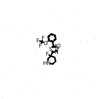 Cl.FC(F)(F)Oc1ccccc1-c1nnc(C2(F)CCCNC2)s1